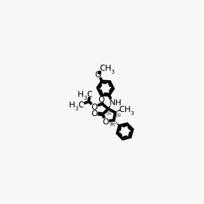 COc1ccc(N[C@@]2(C(=O)OC(C)C)C(=O)O[C@@H](c3ccccc3)[C@H]2C)cc1